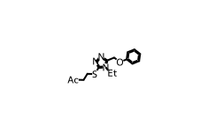 CCn1c(COc2ccccc2)nnc1SCCC(C)=O